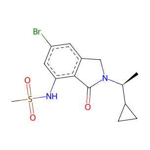 C[C@@H](C1CC1)N1Cc2cc(Br)cc(NS(C)(=O)=O)c2C1=O